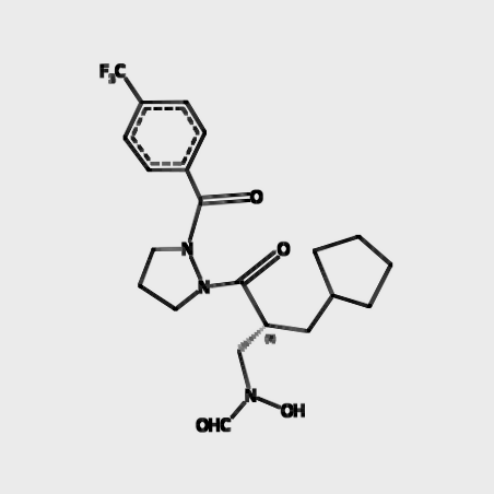 O=CN(O)C[C@@H](CC1CCCC1)C(=O)N1CCCN1C(=O)c1ccc(C(F)(F)F)cc1